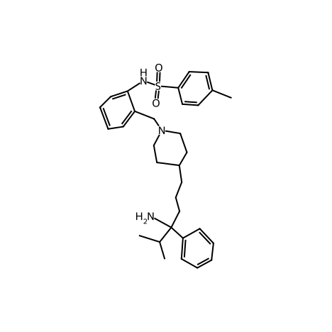 Cc1ccc(S(=O)(=O)Nc2ccccc2CN2CCC(CCCC(N)(c3ccccc3)C(C)C)CC2)cc1